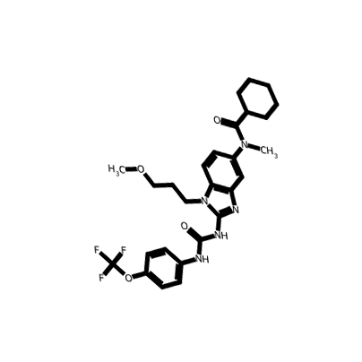 COCCCn1c(NC(=O)Nc2ccc(OC(F)(F)F)cc2)nc2cc(N(C)C(=O)C3CCCCC3)ccc21